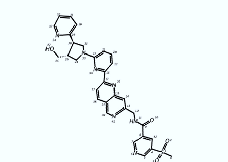 CS(=O)(=O)c1cncc(C(=O)NCc2cc3nc(-c4cccc(N5C[C@H](CO)[C@@H](c6ccccn6)C5)n4)ccc3cn2)c1